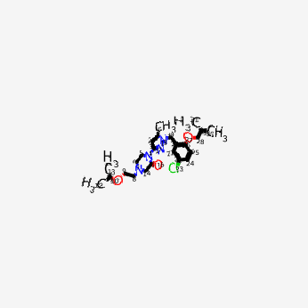 Cc1cc(N2CCN(CCOC(C)C)CC2=O)nn1Cc1cc(Cl)ccc1OCC(C)C